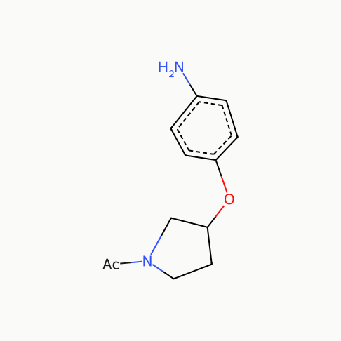 CC(=O)N1CCC(Oc2ccc(N)cc2)C1